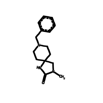 CN1CC2(CCN(Cc3ccccc3)CC2)NC1=O